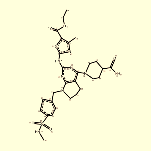 CCOC(=O)c1sc(Nc2nc(N3CCC(C(N)=O)CC3)c3c(n2)N(Cc2ccc(S(=O)(=O)NC)cc2)CCC3)nc1C